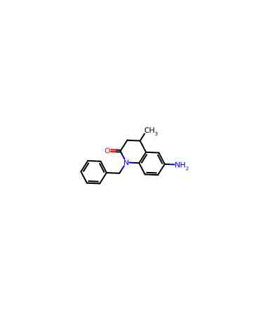 CC1CC(=O)N(Cc2ccccc2)c2ccc(N)cc21